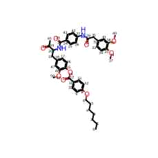 CCCCCCCOc1ccc(C(=O)Oc2ccc(CC(NC(=O)c3ccc(NC(=O)Cc4ccc(OC)c(OC)c4)cc3)C(C)=O)cc2OC)cc1